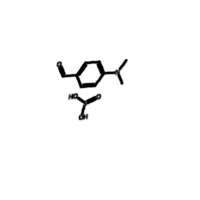 CN(C)c1ccc(C=O)cc1.O=S(O)O